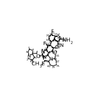 C[C@H]1CN2CCCC2(COc2nc3c4c(c(Cl)c(-c5ccc(F)c6sc(N)c(C#N)c56)c(F)c4n2)OCC2CCCCC(C(F)F)N32)C1